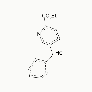 CCOC(=O)c1ccc(Cc2ccccc2)cn1.Cl